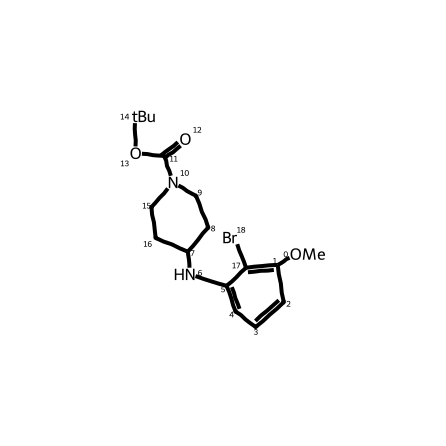 COc1cccc(NC2CCN(C(=O)OC(C)(C)C)CC2)c1Br